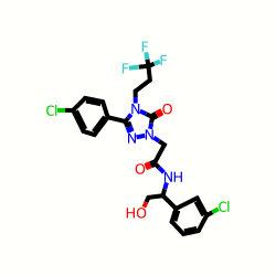 O=C(Cn1nc(-c2ccc(Cl)cc2)n(CCC(F)(F)F)c1=O)NC(CO)c1cccc(Cl)c1